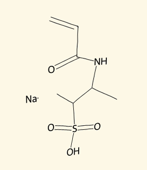 C=CC(=O)NC(C)C(C)S(=O)(=O)O.[Na]